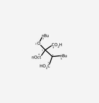 CCCCCCCCC(OCCCC)(C(=O)O)C(CCCC)C(=O)O